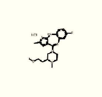 COCCC1CN(C2=Nc3cc(F)ccc3Nc3sc(C)cc32)CCN1C.Cl